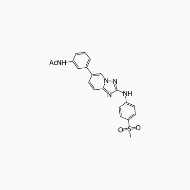 CC(=O)Nc1cccc(-c2ccc3nc(Nc4ccc(S(C)(=O)=O)cc4)nn3c2)c1